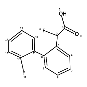 O=C(O)C(F)c1ccccc1-c1ccccc1F